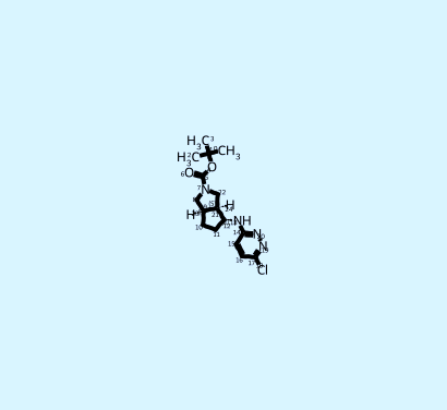 CC(C)(C)OC(=O)N1C[C@@H]2CC[C@@H](Nc3ccc(Cl)nn3)[C@@H]2C1